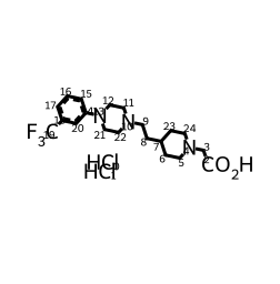 Cl.Cl.O=C(O)CN1CCC(CCN2CCN(c3cccc(C(F)(F)F)c3)CC2)CC1